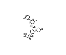 Cc1cc(NC(=O)c2ccc(NS(=O)(=O)C[C@@H](C)O)cc2N2CCC3(CC2)CC3)nc(N2CCO[C@H](C)C2)n1